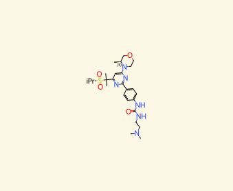 CC(C)S(=O)(=O)C(C)(C)c1cc(N2CCOC[C@@H]2C)nc(-c2ccc(NC(=O)NCCN(C)C)cc2)n1